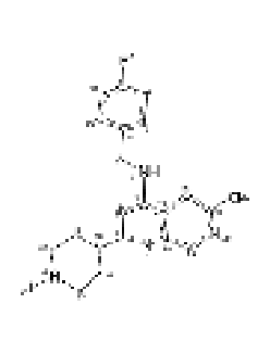 Fc1ccc(CNc2nc(N3CCN(I)CC3)nc3cnc(Cl)cc23)cc1